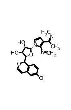 C=Nc1c(/C(C)=N\C)ccn1[C@@H]1O[C@H]([C@@H]2OC=Cc3cc(Cl)ccc32)[C@@H](O)[C@H]1O